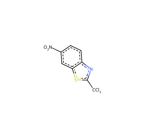 O=[N+]([O-])c1ccc2nc(C(Cl)(Cl)Cl)sc2c1